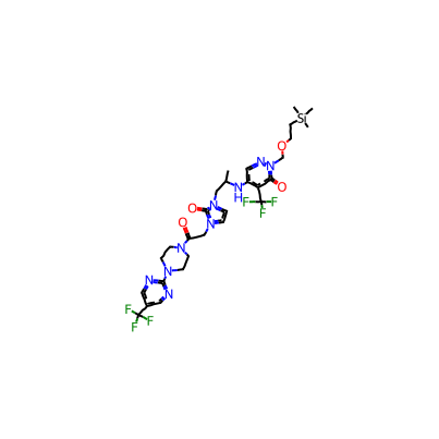 CC(Cn1ccn(CC(=O)N2CCN(c3ncc(C(F)(F)F)cn3)CC2)c1=O)Nc1cnn(COCC[Si](C)(C)C)c(=O)c1C(F)(F)F